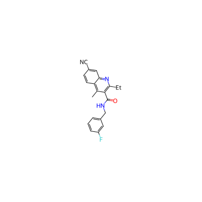 CCc1nc2cc(C#N)ccc2c(C)c1C(=O)NCc1cccc(F)c1